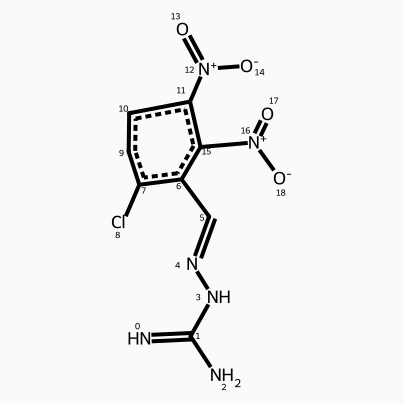 N=C(N)NN=Cc1c(Cl)ccc([N+](=O)[O-])c1[N+](=O)[O-]